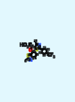 Cc1nc2cccc(OC(C(=O)O)c3sc(-c4ccc(C(F)(F)F)cc4)nc3C)c2s1